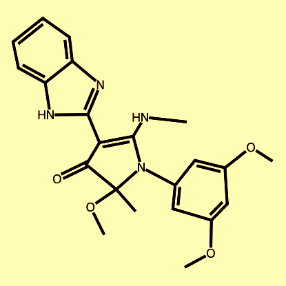 CNC1=C(c2nc3ccccc3[nH]2)C(=O)C(C)(OC)N1c1cc(OC)cc(OC)c1